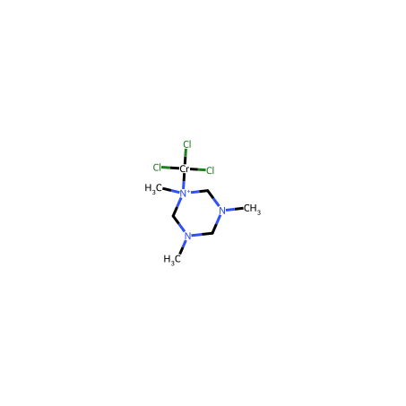 CN1CN(C)C[N+](C)([Cr]([Cl])([Cl])[Cl])C1